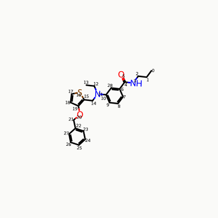 CCCNC(=O)c1cccc(N(CC)Cc2sccc2OCc2ccccc2)c1